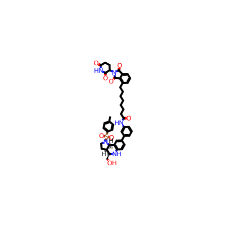 Cc1ccc(S(=O)(=O)N2CC[C@@H]3[C@H](CO)Nc4ccc(-c5cccc(NC(=O)CCCCCCCc6cccc7c6C(=O)N(C6CCC(=O)NC6=O)C7=O)c5)cc4[C@@H]32)cc1